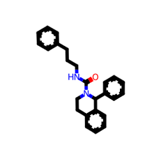 O=C(NCCCc1ccccc1)N1CCc2ccccc2C1c1ccccc1